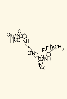 CC(=O)N1CCc2c(c(N3CCCc4cc(-c5cnn(C)c5)c(C(F)F)cc43)nn2C2CCN(C(=O)CC#CCCNc3cccc4c3C(=O)N(C3CCC(=O)NC3=O)C4=O)CC2)C1